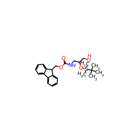 CC(C)(C)[Si](C)(C)OC(CO)CNC(=O)OCC1c2ccccc2-c2ccccc21